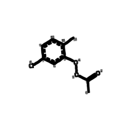 CC(=O)OOc1cc(Cl)ccc1C